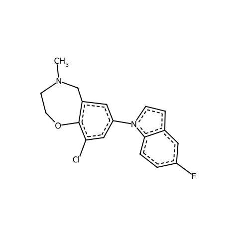 CN1CCOc2c(Cl)cc(-n3ccc4cc(F)ccc43)cc2C1